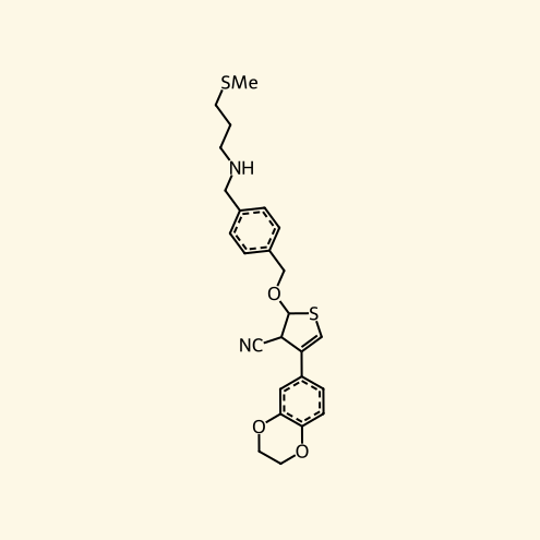 CSCCCNCc1ccc(COC2SC=C(c3ccc4c(c3)OCCO4)C2C#N)cc1